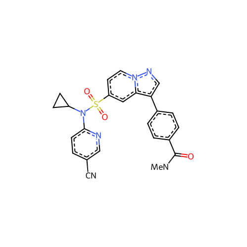 CNC(=O)c1ccc(-c2cnn3ccc(S(=O)(=O)N(c4ccc(C#N)cn4)C4CC4)cc23)cc1